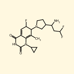 CC1=c2c(c(=O)[nH]c(=O)n2C2CC2)=CC(F)C1N1CCC(C(N)CC(F)F)C1